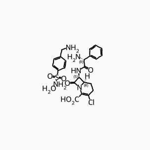 NCc1ccc(S(N)(=O)=O)cc1.N[C@@H](C(=O)N[C@@H]1C(=O)N2C(C(=O)O)=C(Cl)CC[C@H]12)c1ccccc1.O